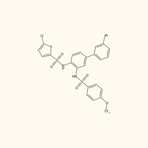 CC(C)c1cccc(-c2ccc(NS(=O)(=O)c3ccc(Cl)s3)c(NS(=O)(=O)c3ccc(OC(F)(F)F)cc3)c2)c1